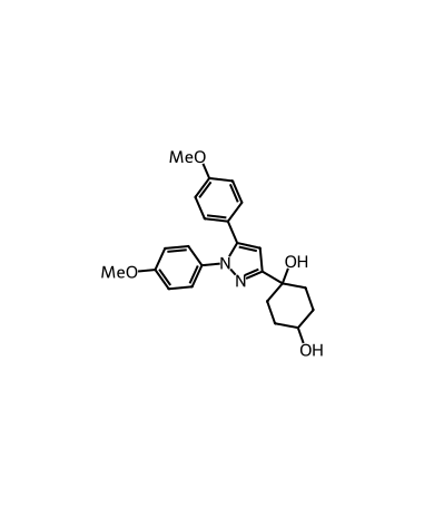 COc1ccc(-c2cc(C3(O)CCC(O)CC3)nn2-c2ccc(OC)cc2)cc1